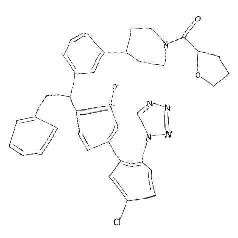 O=C(C1CCCO1)N1CCC(c2cccc(C(Cc3ccccc3)c3ccc(-c4cc(Cl)ccc4-n4cnnn4)c[n+]3[O-])c2)CC1